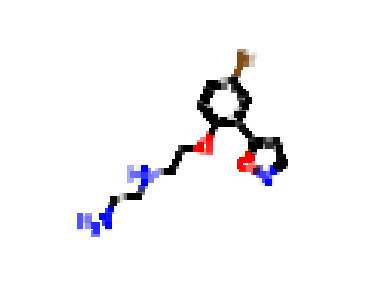 NCCNCCOc1ccc(Br)cc1-c1ccno1